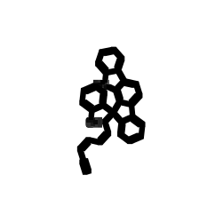 C#C/C=C\C=C/CC1(c2ccccc2O)c2ccccc2-c2ccc3c([nH]c4ccccc43)c21